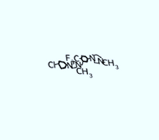 CC1CN(c2ccc(Cl)cc2)CCN1Cc1cc(N2CCCN(C)CC2)ccc1C(F)(F)F